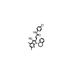 Cc1cc(C)c2c(C#N)c(C=CC(=O)Nc3ccc(Cl)cc3)n([C@H]3CCCc4ccccc43)c2n1